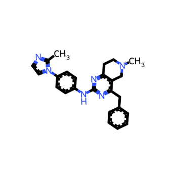 Cc1nccn1-c1ccc(Nc2nc3c(c(Cc4ccccc4)n2)CN(C)CC3)cc1